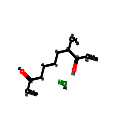 COC(=O)CCCCC(C)C(=O)OC.Cl